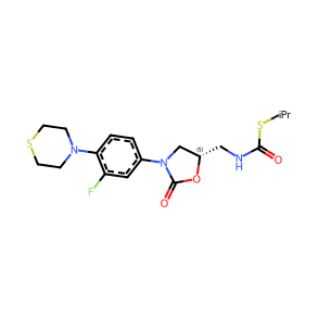 CC(C)SC(=O)NC[C@H]1CN(c2ccc(N3CCSCC3)c(F)c2)C(=O)O1